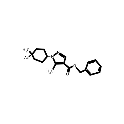 Cc1c(C(=O)OCc2ccccc2)cnn1[C@H]1CC[C@](C)(C(C)=O)CC1